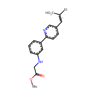 CC/C(=C/c1ccc(-c2cccc(NCC(=O)OC(C)(C)C)c2)nc1)C(=O)O